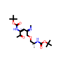 C/N=C(\C=C(\NC(=O)OC(C)(C)C)C(C)=O)COC[C@@H](C)NC(=O)OC(C)(C)C